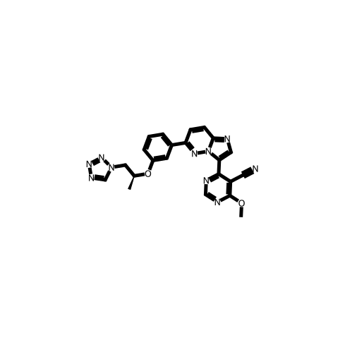 COc1ncnc(-c2cnc3ccc(-c4cccc(O[C@@H](C)Cn5cnnn5)c4)nn23)c1C#N